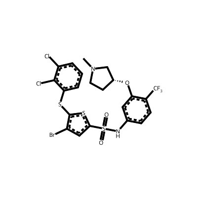 CN1CC[C@@H](Oc2cc(NS(=O)(=O)c3cc(Br)c(Sc4cccc(Cl)c4Cl)s3)ccc2C(F)(F)F)C1